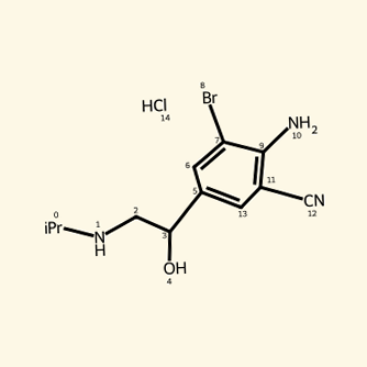 CC(C)NCC(O)c1cc(Br)c(N)c(C#N)c1.Cl